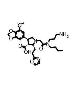 CCCCN(CCCN)C(=O)CN1C[C@H](c2cc(OC)c3c(c2)OCO3)[C@@H](C(=O)O)[C@@H]1CCc1ncco1